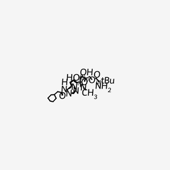 CN=C[C@@]1(c2ccc3c(NC(=O)CC4CCCCC4)ncnn23)O[C@H](COC(=O)[C@@H](N)C(C)(C)C)[C@@H](O)[C@H]1O